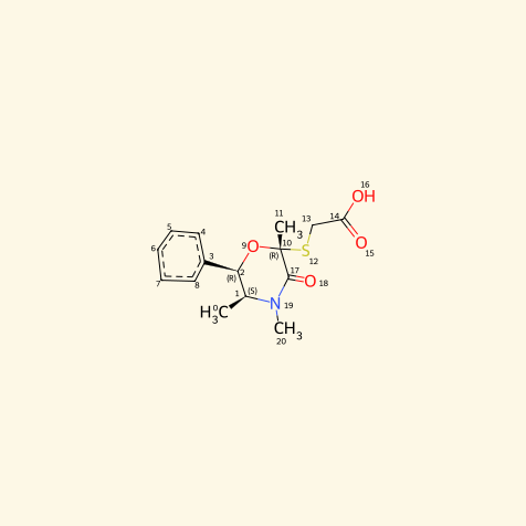 C[C@H]1[C@@H](c2ccccc2)O[C@](C)(SCC(=O)O)C(=O)N1C